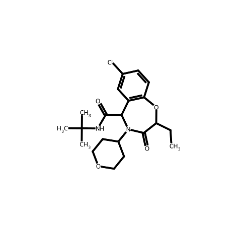 CCC1Oc2ccc(Cl)cc2C(C(=O)NC(C)(C)C)N(C2CCOCC2)C1=O